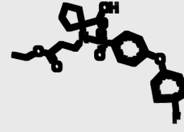 CCOC(=O)CCN(C1(C(=O)O)CCCC1)S(=O)(=O)c1ccc(Oc2ccc(F)cc2)cc1